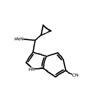 CNC(c1c[nH]c2cc(C#N)ccc12)C1CC1